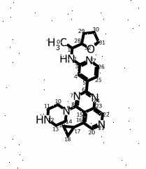 CC(Nc1cc(-c2nc(N3CCNCC3)c3c(C4CC4)cncc3n2)ccn1)C1CCCO1